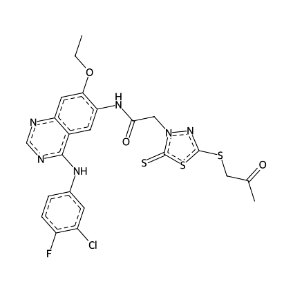 CCOc1cc2ncnc(Nc3ccc(F)c(Cl)c3)c2cc1NC(=O)Cn1nc(SCC(C)=O)sc1=S